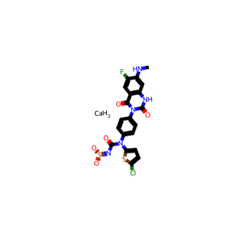 CNc1cc2[nH]c(=O)n(-c3ccc(N(C(=O)N=S(=O)=O)c4ccc(Cl)s4)cc3)c(=O)c2cc1F.[CaH2]